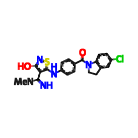 CNC(=N)c1c(O)nsc1Nc1ccc(C(=O)N2CCc3cc(Cl)ccc32)cc1